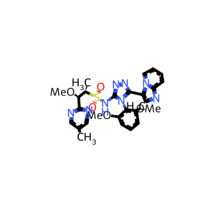 COc1cccc(OC)c1-n1c(NS(=O)(=O)[C@@H](C)[C@H](OC)c2ncc(C)cn2)nnc1-c1c(C)nc2ccccn12